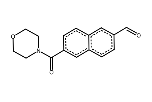 O=Cc1ccc2cc(C(=O)N3CCOCC3)ccc2c1